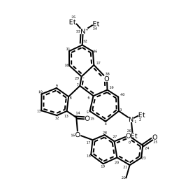 CCN(CC)c1ccc2c(-c3ccccc3C(=O)Oc3ccc4c(C)cc(=O)oc4c3)c3ccc(=[N+](CC)CC)cc-3oc2c1